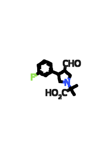 CC(C)(C(=O)O)N1CC(C=O)C(c2cccc(F)c2)C1